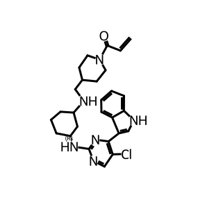 C=CC(=O)N1CCC(CNC2CCC[C@@H](Nc3ncc(Cl)c(-c4c[nH]c5ccccc45)n3)C2)CC1